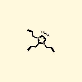 C=CCc1n(CC=C)cc[n+]1CC=C.CC(=O)[O-]